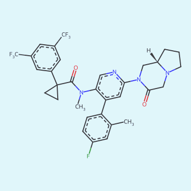 Cc1cc(F)ccc1-c1cc(N2C[C@@H]3CCCN3CC2=O)ncc1N(C)C(=O)C1(c2cc(C(F)(F)F)cc(C(F)(F)F)c2)CC1